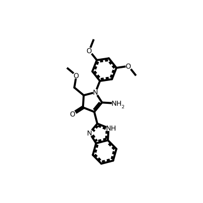 COCC1C(=O)C(c2nc3ccccc3[nH]2)=C(N)N1c1cc(OC)cc(OC)c1